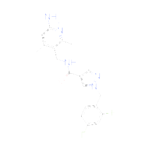 Cc1cc(N)nc(C)c1CNC(=O)c1cnn(Cc2ccc(F)cc2F)c1